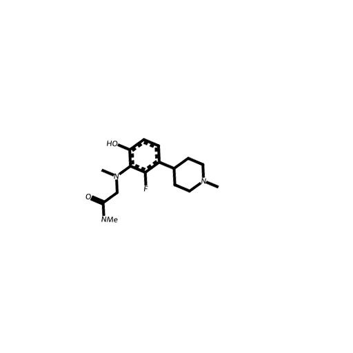 CNC(=O)CN(C)c1c(O)ccc(C2CCN(C)CC2)c1F